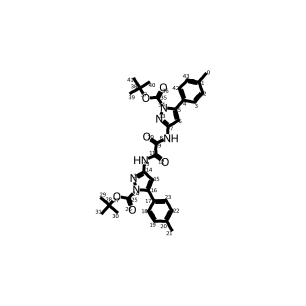 Cc1ccc(-c2cc(NC(=O)C(=O)Nc3cc(-c4ccc(C)cc4)n(C(=O)OC(C)(C)C)n3)nn2C(=O)OC(C)(C)C)cc1